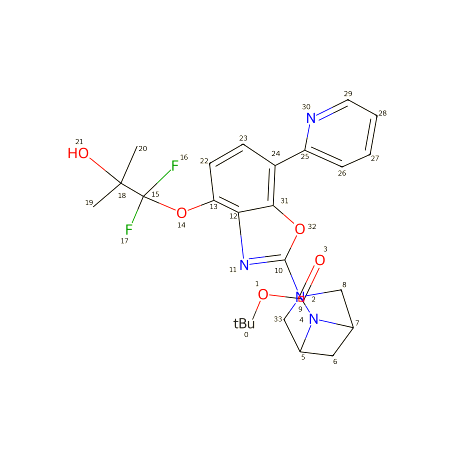 CC(C)(C)OC(=O)N1C2CC1CN(c1nc3c(OC(F)(F)C(C)(C)O)ccc(-c4ccccn4)c3o1)C2